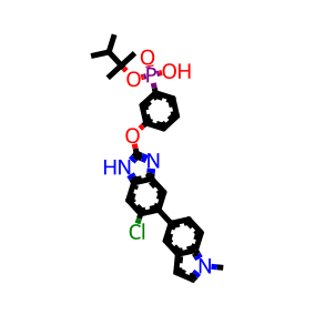 CC(C)C(C)(C)OP(=O)(O)c1cccc(Oc2nc3cc(-c4ccc5c(ccn5C)c4)c(Cl)cc3[nH]2)c1